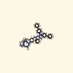 C=C/C(=C\C(=C\C1C=CC(C2=C/C(C)CC(/C=C\C)=C\C(C)(C)\C(C)=C\2)=CC1)C1=CC=CCC1)N(c1ccc(-c2ccccc2)cc1)c1ccc(-c2ccccc2)cc1